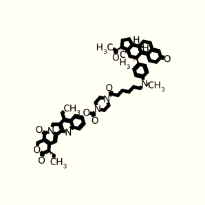 CCc1c2c(nc3ccc(OC(=O)N4CCN(C(=O)CCCCCN(C)c5ccc([C@H]6C[C@]7(C)[C@@H](C(C)=O)CC[C@H]7[C@@H]7CCC8=CC(=O)CCC8=C76)cc5)CC4)cc13)-c1cc3c(c(=O)n1C2)COC(=O)[C@@H]3CC